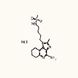 Cc1nc2c(N)nc3c(c2n1CCCCNS(C)(=O)=O)CCCC3.Cl